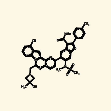 CNC(=O)c1c(-c2ccc(C)cc2)oc2cc(N(C)S(C)(=O)=O)c(-c3ccc4nc(CN5CC(C)(O)C5)n5c6cccc(C#N)c6cc5c4n3)cc12